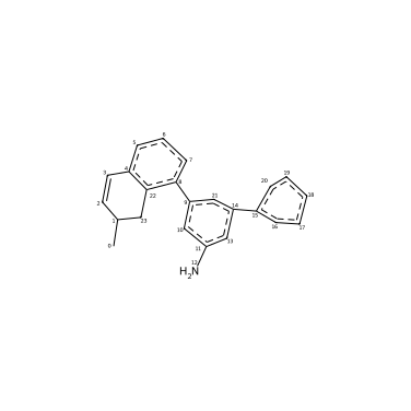 CC1C=Cc2cccc(-c3cc(N)cc(-c4ccccc4)c3)c2C1